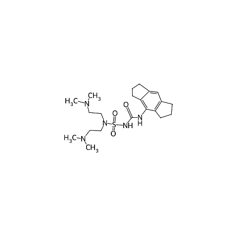 CN(C)CCN(CCN(C)C)S(=O)(=O)NC(=O)Nc1c2c(cc3c1CCC3)CCC2